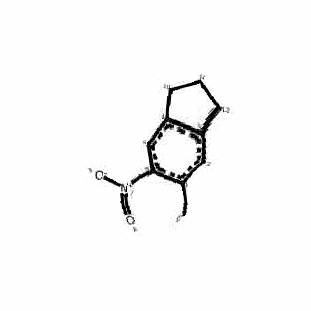 Cc1cc2c(cc1[N+](=O)[O-])CCC2